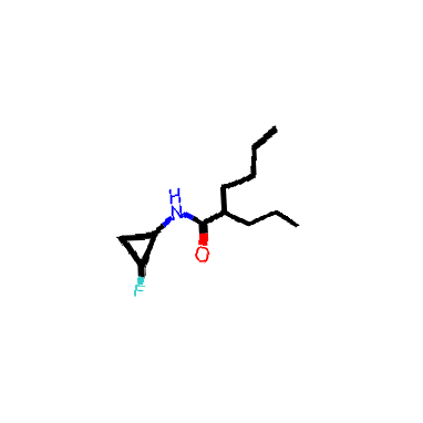 CCCCC(CCC)C(=O)NC1CC1F